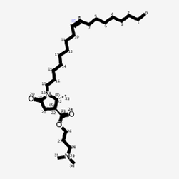 CCCCCCCC/C=C\CCCCCCCCN1C(=O)C[C@H](C(=O)OCCCN(C)C)[C@H]1C